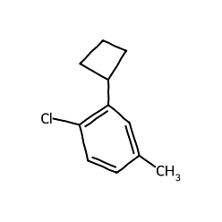 Cc1ccc(Cl)c(C2CCC2)c1